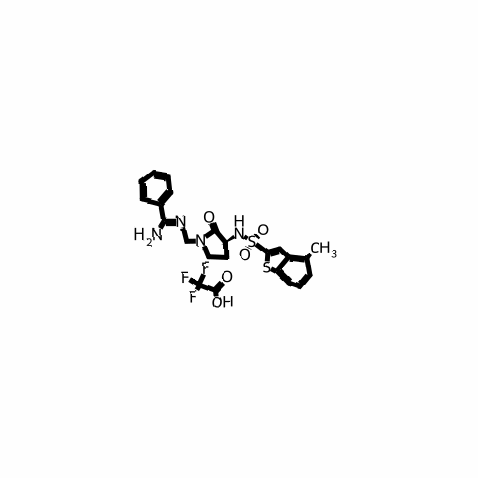 Cc1cccc2sc(S(=O)(=O)N[C@H]3CCN(CN=C(N)c4ccccc4)C3=O)cc12.O=C(O)C(F)(F)F